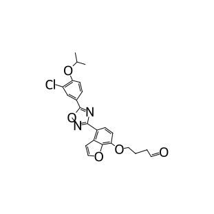 CC(C)Oc1ccc(-c2nc(-c3ccc(OCCCC=O)c4occc34)no2)cc1Cl